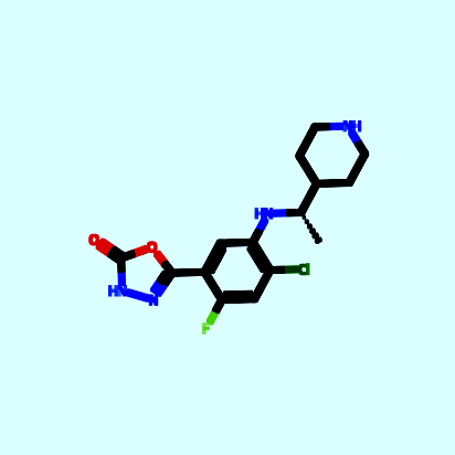 C[C@H](Nc1cc(-c2n[nH]c(=O)o2)c(F)cc1Cl)C1CCNCC1